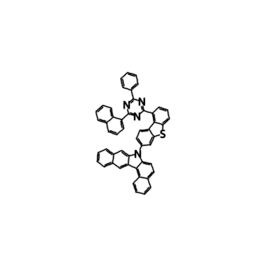 c1ccc(-c2nc(-c3cccc4ccccc34)nc(-c3cccc4sc5cc(-n6c7cc8ccccc8cc7c7c8ccccc8ccc76)ccc5c34)n2)cc1